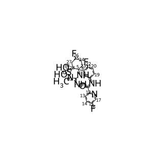 CN1C(=N)NC2(c3cc(NC(=O)c4ccc(F)cn4)ccc3F)CCC(F)CC2S1(O)O